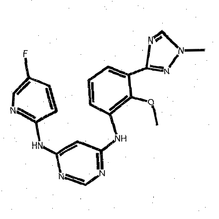 COc1c(Nc2cc(Nc3ccc(F)cn3)ncn2)cccc1-c1ncn(C)n1